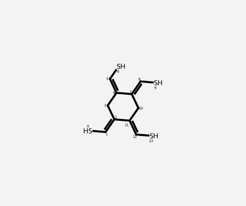 SC=C1CC(=CS)C(=CS)CC1=CS